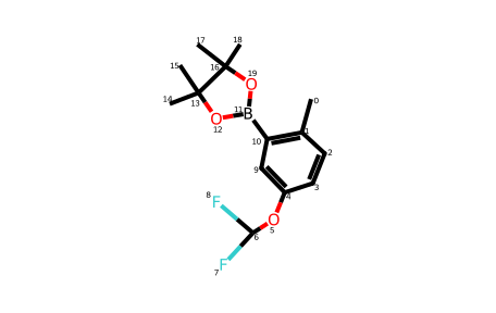 Cc1ccc(OC(F)F)cc1B1OC(C)(C)C(C)(C)O1